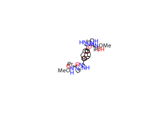 COC(=O)N[C@H](C(=O)N1CCC[C@H]1c1nc(-c2ccc(C3=CC4=CCC3CCC3C=CC(=C(c5ccc(C6=CNC(C)([C@@H]7CCCN7C(=O)[C@@H](NC(O)OC)C(C)C)N6)cc5)C3C)CC4)cc2)c[nH]1)C(C)C